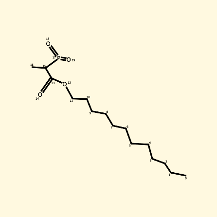 CCCCCCCCCCCCOC(=O)C(C)P(=O)=O